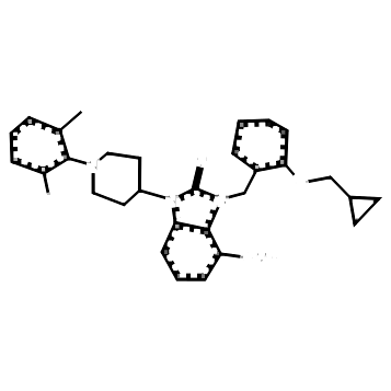 COc1cccc2c1n(Cc1ccccc1OCC1CC1)c(=O)n2C1CCN(c2c(C)cccc2F)CC1